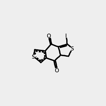 O=C1C2=C(I)SCC2C(=O)c2cscc21